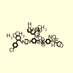 CN=S1(=O)CCN(c2cc(N3CCN(CC4=C(c5ccc(Cl)cc5)CC(C)(C)CC4)CC3)ccc2C(=O)NS(=O)(=O)c2ccc(NCC3(F)CCOCC3)c([N+](=O)[O-])c2)c2cc3cc[nH]c3nc21